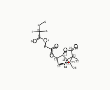 CCC(C)(C)C(=O)OCC(=O)OC1C2CC3(C)C1OC(=O)C3(C)C2C